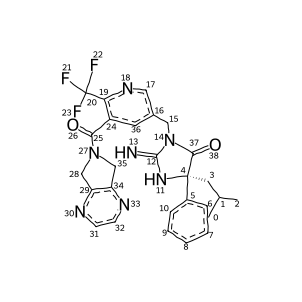 CC(C)C[C@]1(c2ccccc2)NC(=N)N(Cc2cnc(C(F)(F)F)c(C(=O)N3Cc4nccnc4C3)c2)C1=O